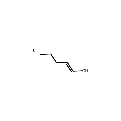 CCCC=CO.[C]